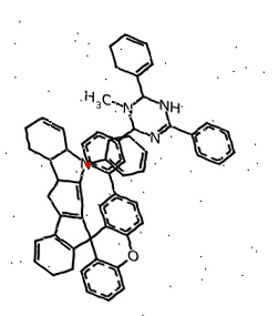 CN1C(C2=CC=CCC2)NC(c2ccccc2)=NC1c1cccc(-c2ccc3c(c2)C2(C4=C(CC5C(=C4)N(C4=CC=CCC4)C4C=CCCC54)C4=C2CCC=C4)c2ccccc2O3)c1